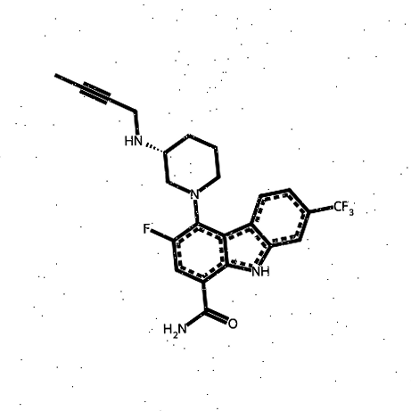 CC#CCN[C@@H]1CCCN(c2c(F)cc(C(N)=O)c3[nH]c4cc(C(F)(F)F)ccc4c23)C1